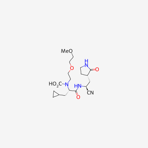 COCCOCCN(C(=O)O)[C@@H](CC1CC1)C(=O)N[C@H](C#N)C[C@@H]1CCNC1=O